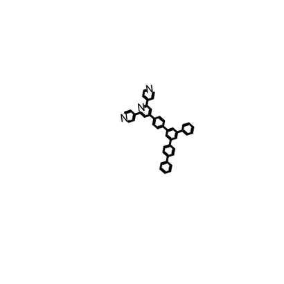 c1ccc(-c2ccc(-c3cc(-c4ccccc4)cc(-c4ccc(-c5cc(-c6ccncc6)nc(-c6ccncc6)c5)cc4)c3)cc2)cc1